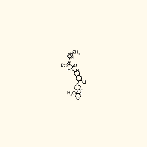 CC[C@H]1[C@H](C(=O)Nc2cc3cc(N4CCN([C@@]5(C)COC[C@H]5F)CC4)c(Cl)cc3cn2)[C@H]1c1ccn(C)n1